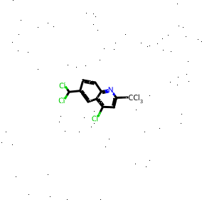 Clc1cc(C(Cl)(Cl)Cl)nc2ccc(C(Cl)Cl)cc12